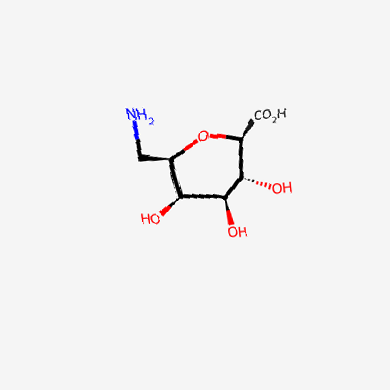 NC[C@H]1O[C@@H](C(=O)O)[C@H](O)[C@@H](O)[C@H]1O